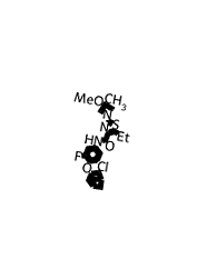 CCc1sc(N2CC(C)(OC)C2)nc1C(=O)Nc1cc(F)c(OC2CC3CC(C3)C2)c(Cl)c1